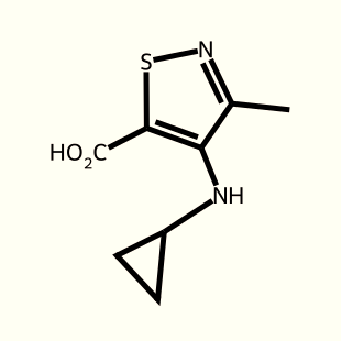 Cc1nsc(C(=O)O)c1NC1CC1